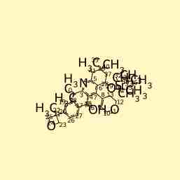 CC(C)c1nc2c(c(C3=CCOCC3)c1[C@@H](O)c1ccc(C3(C)COC3)cc1)C(O[Si](C)(C)C(C)(C)C)CC(C)(C)C2